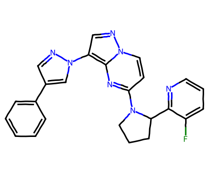 Fc1cccnc1C1CCCN1c1ccn2ncc(-n3cc(-c4ccccc4)cn3)c2n1